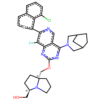 OC[C@H]1CC[C@@]2(COc3nc(N4CC5CCC(C5)C4)c4cnc(-c5cccc6cccc(Cl)c56)c(F)c4n3)CCCN12